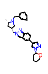 C[C@H]1C[C@@H](Cn2cc3cc(-c4cnn(C5CCCCO5)c4)ccc3n2)CN1Cc1ccccc1